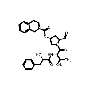 CC(C)[C@H](NC(=O)[C@@H](O)Cc1ccccc1)C(=O)N1C[C@H](OC(=O)N2CCc3ccccc3C2)C[C@H]1C=O